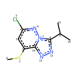 CSc1cc(Cl)nn2c(C(C)C)nnc12